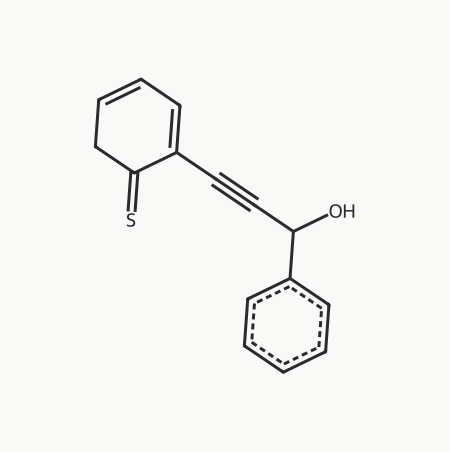 OC(C#CC1=CC=CCC1=S)c1ccccc1